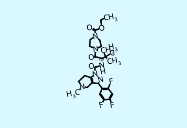 CCOC(=O)N1CCN(C(=O)[C@@H](NC(=O)n2nc(-c3cc(F)c(F)cc3F)c3c2CCN(C)C3)C(C)(C)C)CC1